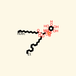 CC/C=C\C/C=C\C/C=C\C/C=C\CCCCC(=O)O[C@H](COC(=O)CCCCCCCCC/C=C\CCCCCCCCCC)COP(=O)(O)OC1C(O)C(O)C(O)[C@@H](O)C1O